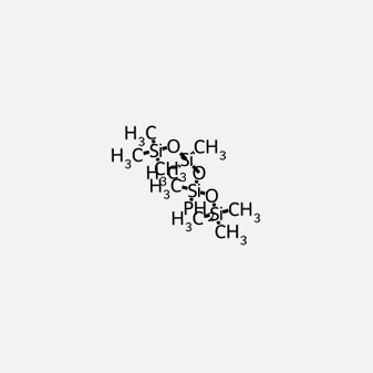 C[Si](C)(C)O[Si](C)(C)O[Si](C)(P)O[Si](C)(C)C